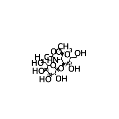 CO[C@@H]1OC(CO)[C@@H](O)[C@H](O[C@@H]2OC(CO)[C@H](O)[C@H](O)C2O)C1NC(C)=O